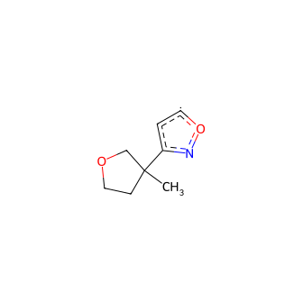 CC1(c2c[c]on2)CCOC1